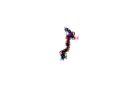 Cc1ncsc1-c1ccc(CNC(=O)[C@@H]2C[C@@H](O)CN2C(=O)C(NC(=O)CCCOc2ccc(CCOc3ccc(N4C(=S)N(c5ccc(C#N)c(C(F)(F)F)c5)C(=O)C4(C)C)cc3)cc2)C(C)(C)C)cc1